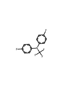 Fc1ccc(N(c2ccc(F)cc2)C(F)(F)F)cc1